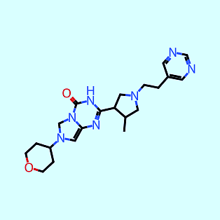 CC1CN(CCc2cncnc2)CC1C1=NC2=CN(C3CCOCC3)CN2C(=O)N1